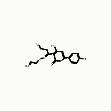 C=CCON=C(CCC)c1c(O)cc(-c2ccc(Cl)cc2)oc1=O